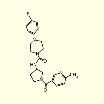 Cc1ccc(C(=O)N2CCC(NC(=O)N3CCN(c4ccc(F)cc4)CC3)C2)cn1